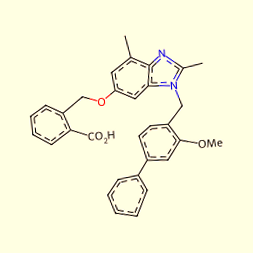 COc1cc(-c2ccccc2)ccc1Cn1c(C)nc2c(C)cc(OCc3ccccc3C(=O)O)cc21